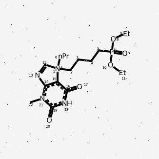 CCC[N+]1(CCCCP(=O)(OCC)OCC)C=Nc2c1c(=O)[nH]c(=O)n2C